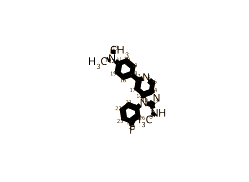 CNc1nc2cnc(-c3ccc(N(C)C)cc3)cc2n1-c1cccc(F)c1